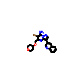 Nc1c(Br)c(COC2CCOCC2)nc2c(-c3cnc4ccccc4c3)cnn12